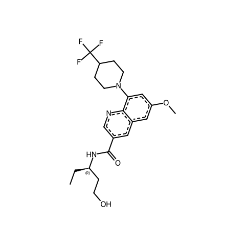 CC[C@H](CCO)NC(=O)c1cnc2c(N3CCC(C(F)(F)F)CC3)cc(OC)cc2c1